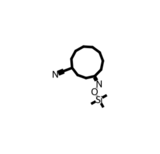 C[Si](C)(C)ON=C1CCCCCCCC(C#N)CC1